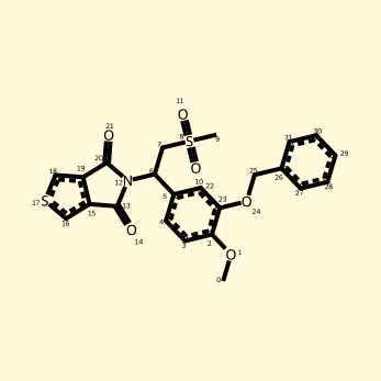 COc1ccc(C(CS(C)(=O)=O)N2C(=O)c3cscc3C2=O)cc1OCc1ccccc1